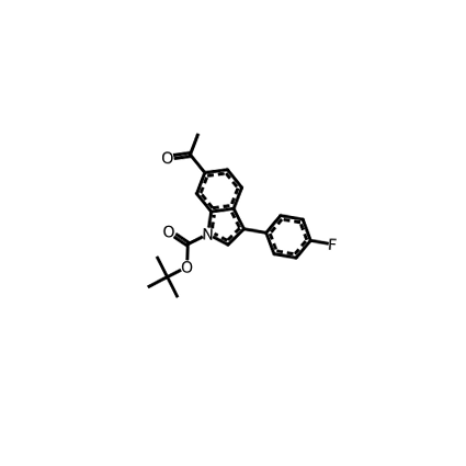 CC(=O)c1ccc2c(-c3ccc(F)cc3)cn(C(=O)OC(C)(C)C)c2c1